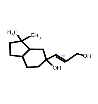 CC1(C)CCC2CCC(O)(/C=C/CO)CC21